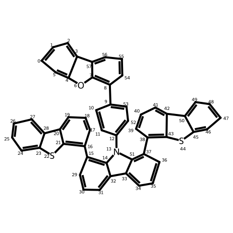 c1ccc2c(c1)oc1c(-c3ccc(-n4c5c(-c6cccc7c6sc6ccccc67)cccc5c5cccc(-c6cccc7c6sc6ccccc67)c54)cc3)cccc12